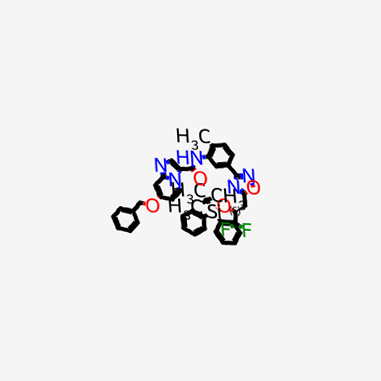 Cc1ccc(-c2noc(C[C@H](O[Si](c3ccccc3)(c3ccccc3)C(C)(C)C)C(F)F)n2)cc1NC(=O)c1cnc2cc(OCc3ccccc3)ccn12